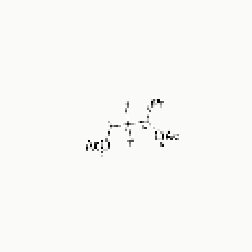 CC(=O)OCC(C)(C)C(OC(C)=O)C(C)C